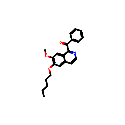 CCCCCOc1cc2ccnc(C(=O)c3ccccc3)c2cc1OC